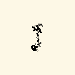 Cc1nc(N)c2nc(C)n(CCOCCNS(=O)(=O)CC34CCC(CC3=O)C4(C)C)c2c1C